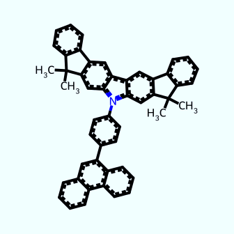 CC1(C)c2ccccc2-c2cc3c4cc5c(cc4n(-c4ccc(-c6cc7ccccc7c7ccccc67)cc4)c3cc21)C(C)(C)c1ccccc1-5